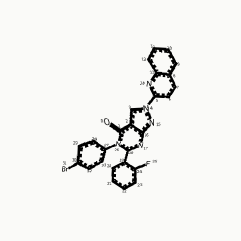 O=c1c2cn(-c3ccc4ccccc4n3)nc2nc(-c2ccccc2F)n1-c1ccc(Br)cc1